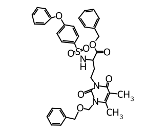 Cc1c(C)n(COCc2ccccc2)c(=O)n(CCC(NS(=O)(=O)c2ccc(Oc3ccccc3)cc2)C(=O)OCc2ccccc2)c1=O